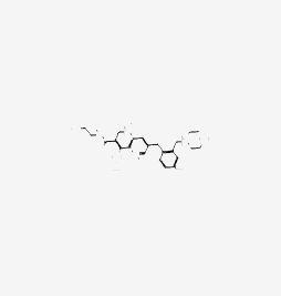 COCCNC(=O)c1c(O)c2ncc(Cc3ccc(F)cc3CN3CCOCC3)cc2n(C)c1=O